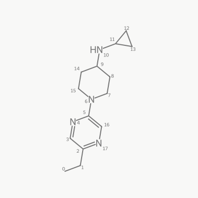 CCc1cnc(N2CCC(NC3CC3)CC2)cn1